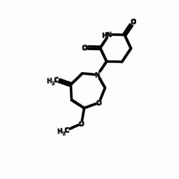 C=C1CC(OC)OCN(C2CCC(=O)NC2=O)C1